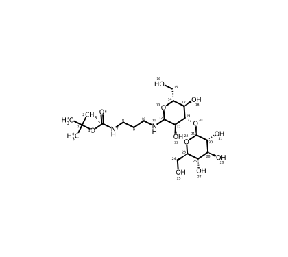 CC(C)(C)OC(=O)NCCCNC1O[C@H](CO)[C@@H](O)[C@H](O[C@@H]2O[C@H](CO)[C@@H](O)[C@H](O)[C@H]2O)[C@H]1O